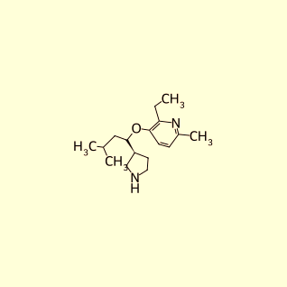 CCc1nc(C)ccc1OC(CC(C)C)[C@H]1CCNC1